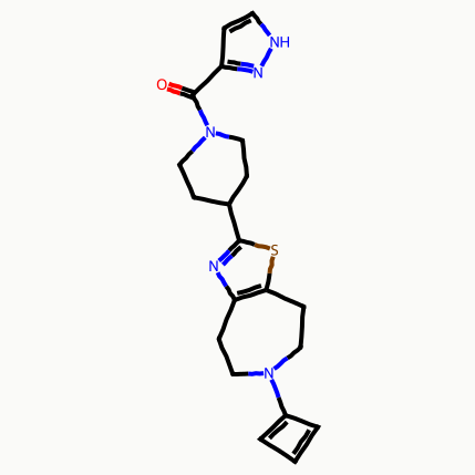 O=C(c1cc[nH]n1)N1CCC(c2nc3c(s2)CCN(C2=CC=C2)CC3)CC1